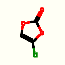 O=c1occ(Cl)o1